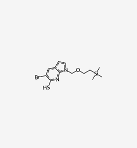 C[Si](C)(C)CCOCn1ccc2cc(Br)c(S)nc21